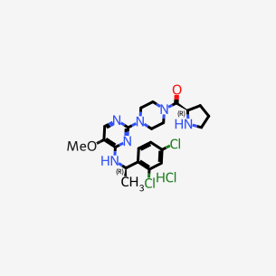 COc1cnc(N2CCN(C(=O)[C@H]3CCCN3)CC2)nc1N[C@H](C)c1ccc(Cl)cc1Cl.Cl